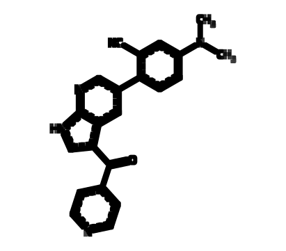 CN(C)c1ccc(-c2cnc3[nH]cc(C(=O)c4ccncc4)c3c2)c(C#N)c1